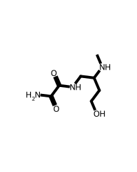 CNC(CCO)CNC(=O)C(N)=O